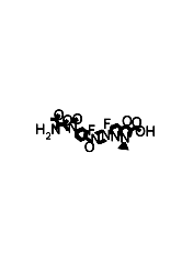 CC(=O)C(N)C1CN(c2ccc(C(=O)N3CCN(c4nc5c(cc4F)c(=O)c(C(=O)O)cn5C4CC4)CC3)c(F)c2)C(=O)O1